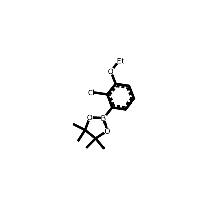 CCOc1cccc(B2OC(C)(C)C(C)(C)O2)c1Cl